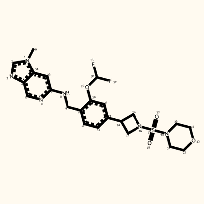 Cn1cnc2cnc(NCc3ccc(C4CN(S(=O)(=O)N5CCOCC5)C4)cc3OC(F)F)cc21